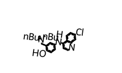 CCCCN(CCCC)Cc1cc(Nc2ccnc3cc(Cl)ccc23)ccc1O